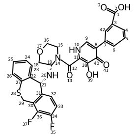 O=C(O)c1cccc(-c2c[nH]c(C(=O)N3CCOC[C@H]3N[C@H]3c4ccccc4SCc4c3ccc(F)c4F)c(O)c2=O)c1